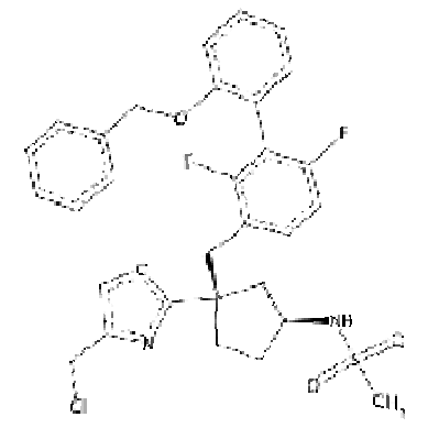 CS(=O)(=O)N[C@H]1CC[C@](Cc2ccc(F)c(-c3ccccc3OCc3ccccc3)c2F)(c2nc(CCl)co2)C1